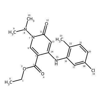 CCOC(=O)c1cn(N(C)C)c(=O)cc1Nc1cc(Cl)ccc1C